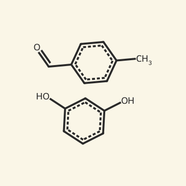 Cc1ccc(C=O)cc1.Oc1cccc(O)c1